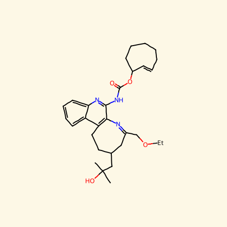 CCOC/C1=N/c2c(NC(=O)OC3/C=C/CCCCC3)nc3ccccc3c2CCC(CC(C)(C)O)C1